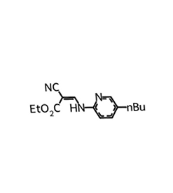 CCCCc1ccc(N/C=C(/C#N)C(=O)OCC)nc1